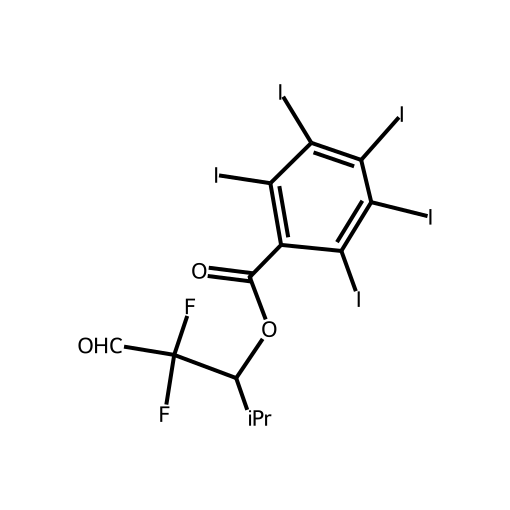 CC(C)C(OC(=O)c1c(I)c(I)c(I)c(I)c1I)C(F)(F)C=O